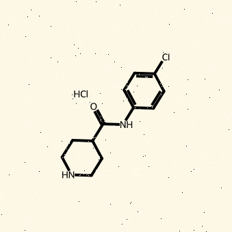 Cl.O=C(Nc1ccc(Cl)cc1)C1CCNCC1